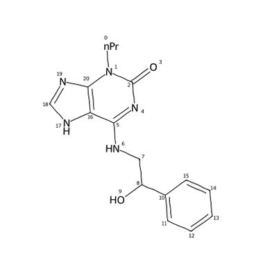 CCCn1c(=O)nc(NCC(O)c2ccccc2)c2[nH]cnc21